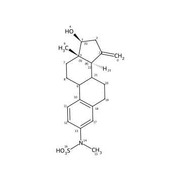 C=C1C[C@H](O)[C@@]2(C)CCC3c4ccc(N(C)S(=O)(=O)O)cc4CCC3[C@H]12